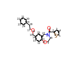 O=C(c1cccs1)N1CCOc2ccc(COCCc3ccccc3)cc2C1